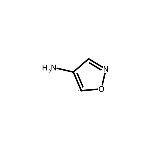 Nc1[c]onc1